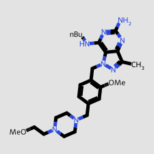 CCCCNc1nc(N)nc2c(C)nn(Cc3ccc(CN4CCN(CCOC)CC4)cc3OC)c12